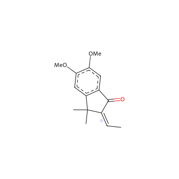 C/C=C1\C(=O)c2cc(OC)c(OC)cc2C1(C)C